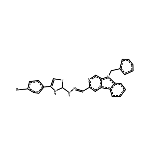 Brc1ccc(C2=CSC(N/N=C/c3cc4c5ccccc5n(Cc5ccccc5)c4cn3)N2)cc1